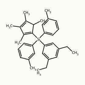 CCc1cc(CC)cc([Si](C2=C(C)C(C)=C(C)C2C)(c2cccc(C)c2)c2cccc(C)c2)c1